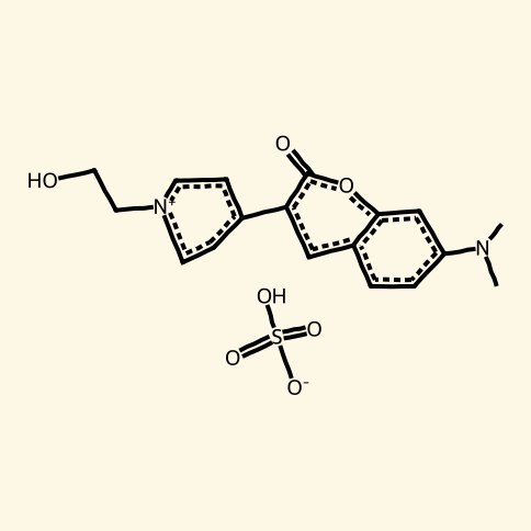 CN(C)c1ccc2cc(-c3cc[n+](CCO)cc3)c(=O)oc2c1.O=S(=O)([O-])O